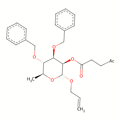 C=CCO[C@@H]1O[C@@H](C)[C@H](OCc2ccccc2)[C@@H](OCc2ccccc2)[C@H]1OC(=O)CCC(C)=O